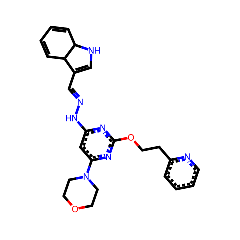 C1=CC2NC=C(/C=N/Nc3cc(N4CCOCC4)nc(OCCc4ccccn4)n3)C2C=C1